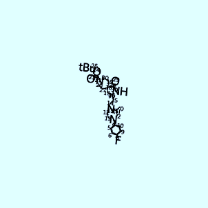 C[C@H]1CN(c2ccc(F)cc2)CCN1CC[C@H]1CC2(CCN(C(=O)OC(C)(C)C)CC2)C(=O)N1